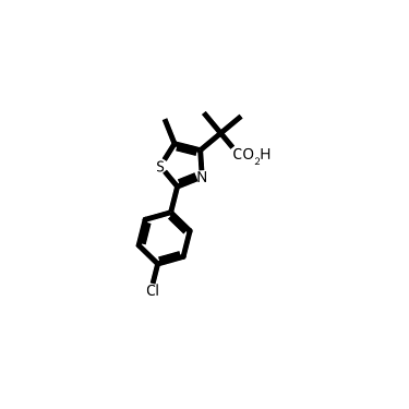 Cc1sc(-c2ccc(Cl)cc2)nc1C(C)(C)C(=O)O